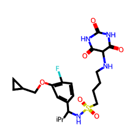 CC(C)C(NS(=O)(=O)CCCCNC1C(=O)NC(=O)NC1=O)c1ccc(F)c(OCC2CC2)c1